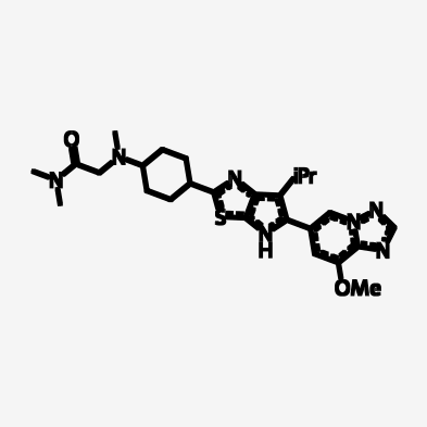 COc1cc(-c2[nH]c3sc(C4CCC(N(C)CC(=O)N(C)C)CC4)nc3c2C(C)C)cn2ncnc12